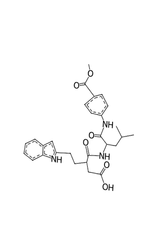 COC(=O)c1ccc(NC(=O)C(CC(C)C)NC(=O)C(CCc2cc3ccccc3[nH]2)CC(=O)O)cc1